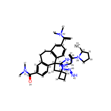 C=C(c1ccc2c(c1)CCc1cc(C(=O)N(C)C)ccc1C2(CC1(NCC(=C)N2CCCC2C#N)CCC1)/C(N)=N/N=N)N(C)C